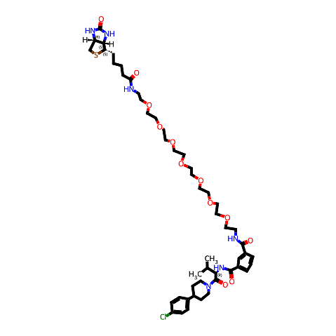 CC(C)[C@@H](NC(=O)c1cccc(C(=O)NCCOCCOCCOCCOCCOCCOCCOCCNC(=O)CCCC[C@@H]2SC[C@@H]3NC(=O)N[C@@H]32)c1)C(=O)N1CCC(c2ccc(Cl)cc2)CC1